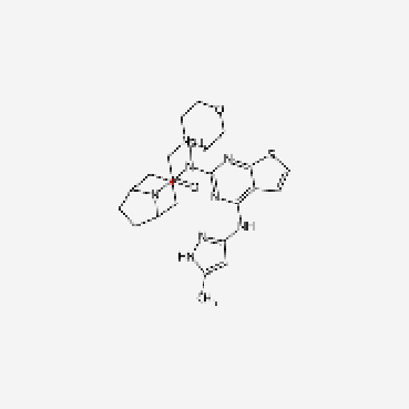 Cc1cc(Nc2nc(N(C)C3CC4CCC(C3)N4C(=O)CN3CCOCC3)nc3sccc23)n[nH]1